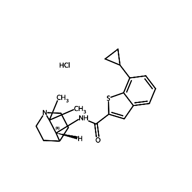 CC1(C)[C@H](NC(=O)c2cc3cccc(C4CC4)c3s2)C2CCN1CC2.Cl